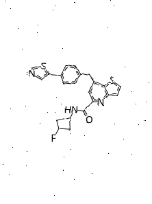 O=C(NC1CC(F)C1)c1cc(Cc2ccc(-c3cncs3)cc2)c2sccc2n1